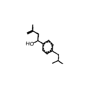 C=C(C)CC(O)c1ccc(CC(C)C)cc1